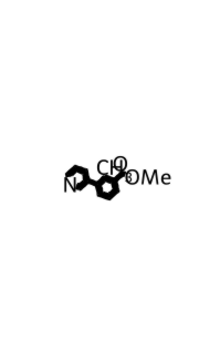 COC(=O)c1cccc(-c2cccnc2)c1C